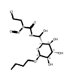 CCCCO[C@H]1O[C@H](C(O)NC(=O)N(CCCl)N=O)[C@@H](O)[C@H](O)[C@H]1O